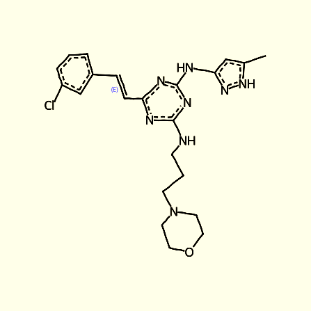 Cc1cc(Nc2nc(/C=C/c3cccc(Cl)c3)nc(NCCCN3CCOCC3)n2)n[nH]1